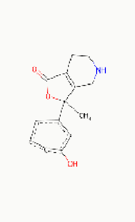 CC1(c2cccc(O)c2)OC(=O)C2=C1CNCC2